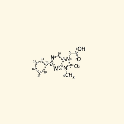 Cn1c(=O)n(CC(=O)O)c2cnc(-c3ccccc3)nc21